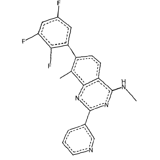 CNc1nc(-c2cccnc2)nc2c(C)c(-c3cc(F)cc(F)c3F)ccc12